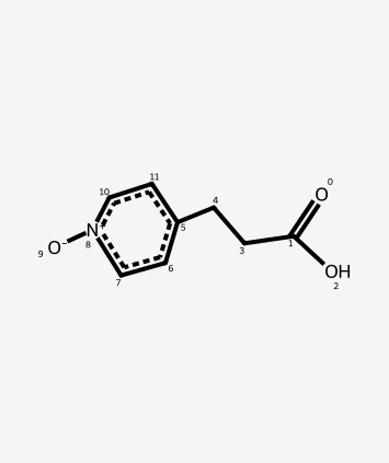 O=C(O)CCc1cc[n+]([O-])cc1